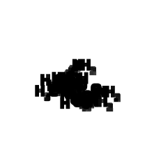 CC(C)C[C@H](NC(=O)CNC(=O)[C@H](CCC(N)=O)NC(=O)[C@@H]1CCCN1C(=O)[C@@H](N)CCC(N)=O)C(=O)N[C@@H](C)C(=O)N[C@@H](CCCCN)C(=O)O